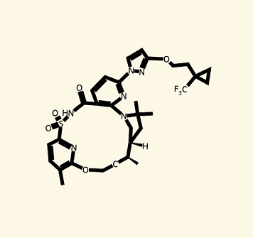 Cc1ccc2nc1OCC[C@H](C)[C@@H]1CN(c3nc(-n4ccc(OCCC5(C(F)(F)F)CC5)n4)ccc3C(=O)NS2(=O)=O)C(C)(C)C1